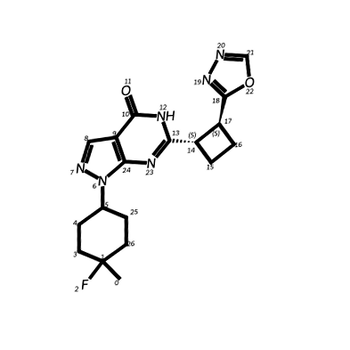 CC1(F)CCC(n2ncc3c(=O)[nH]c([C@H]4CC[C@@H]4c4nnco4)nc32)CC1